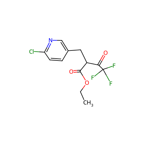 CCOC(=O)C(Cc1ccc(Cl)nc1)C(=O)C(F)(F)F